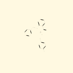 O=C(NOCc1ccc(Cl)cc1)c1ccccc1NCc1ccncc1